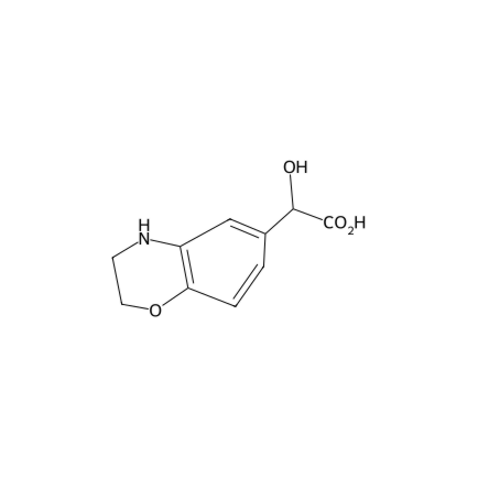 O=C(O)C(O)c1ccc2c(c1)NCCO2